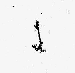 CCn1c2ccc(CNCCOCCOCCOCCOCCC(=O)N3CCC(n4nc(N5CCCc6cc(-c7cnn(C)c7)c(C(F)F)cc65)c5c4CCN(C(=O)NC)C5)CC3)cc2c2ccc(-c3cscn3)cc21